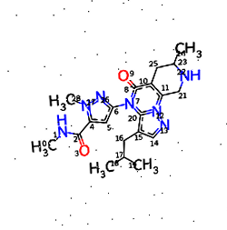 CNC(=O)c1cc(-n2c(=O)c3c(n4ncc(CC(C)C)c24)CNC(C)C3)nn1C